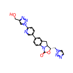 O=C1O[C@@H](Cn2ccnn2)C2Cc3cc(-c4ccc(-n5cc(CO)nn5)nc4)ccc3N12